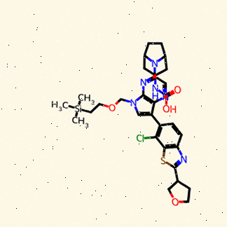 C[Si](C)(C)CCOCn1cc(-c2ccc3nc(C4CCOC4)sc3c2Cl)c2ncc(N3C4CCC3CC(NC(=O)O)C4)nc21